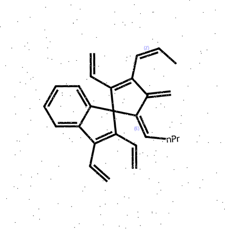 C=CC1=C(C=C)C2(C(C=C)=C(/C=C\C)C(=C)/C2=C\CCC)c2ccccc21